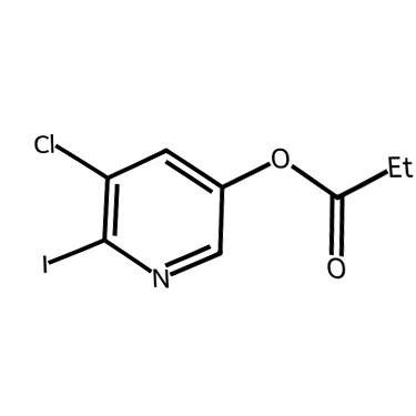 CCC(=O)Oc1cnc(I)c(Cl)c1